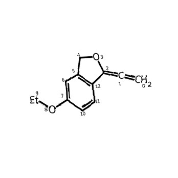 C=C=C1OCc2cc(OCC)ccc21